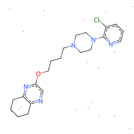 Clc1cccnc1N1CCN(CCCCOc2cnc3c(n2)CCCC3)CC1